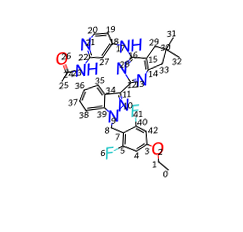 CCOc1cc(F)c(Cn2nc(-c3nc4c(c(Nc5ccnc(NC(C)=O)c5)n3)CC(C)(C)C4)c3ccccc32)c(F)c1